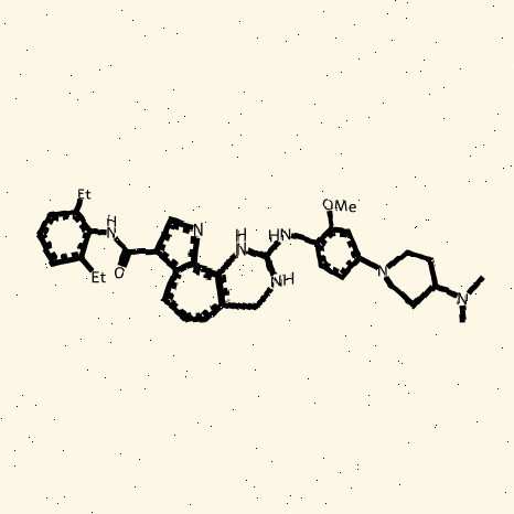 CCc1cccc(CC)c1NC(=O)c1cnc2c3c(cccc1-2)CNC(Nc1ccc(N2CCC(N(C)C)CC2)cc1OC)N3